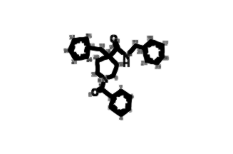 O=C(c1ccccc1)N1CCC(Cc2ccccc2)(C(=O)NCc2ccccc2)CC1